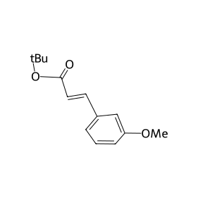 COc1cccc(/C=C/C(=O)OC(C)(C)C)c1